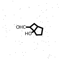 O=CC1CC2CCCC12O